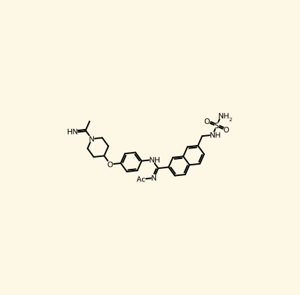 CC(=N)N1CCC(Oc2ccc(NC(=NC(C)=O)c3ccc4ccc(CNS(N)(=O)=O)cc4c3)cc2)CC1